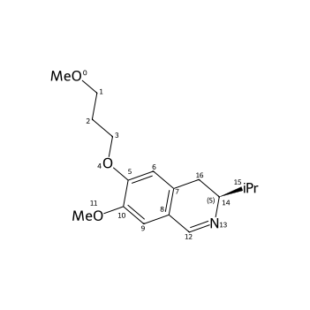 COCCCOc1cc2c(cc1OC)C=N[C@H](C(C)C)C2